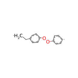 [CH2]Cc1ccc(OOc2cc[c]cc2)cc1